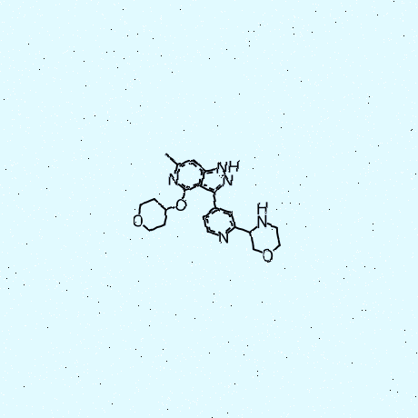 Cc1cc2[nH]nc(-c3ccnc(C4COCCN4)c3)c2c(OC2CCOCC2)n1